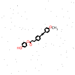 COc1ccc(C#Cc2ccc(CCC(=O)Oc3ccc(O)cc3)cc2)cc1